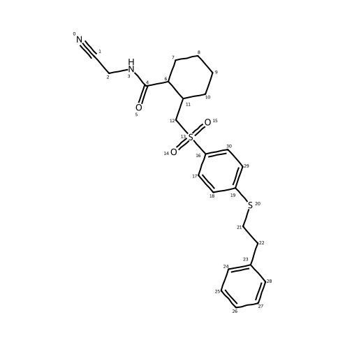 N#CCNC(=O)C1CCCCC1CS(=O)(=O)c1ccc(SCCc2ccccc2)cc1